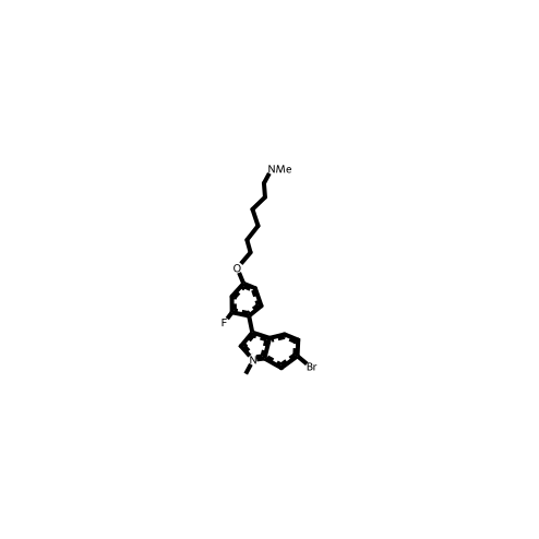 CNCCCCCCOc1ccc(-c2cn(C)c3cc(Br)ccc23)c(F)c1